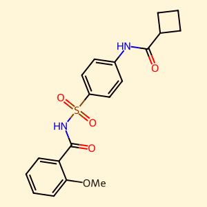 COc1ccccc1C(=O)NS(=O)(=O)c1ccc(NC(=O)C2CCC2)cc1